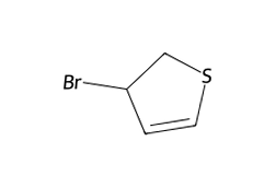 BrC1C=CSC1